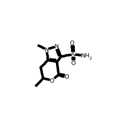 CC1Cc2c(c(S(N)(=O)=O)nn2C)C(=O)O1